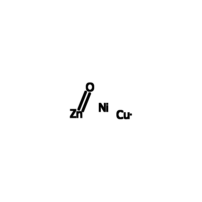 [Cu].[Ni].[O]=[Zn]